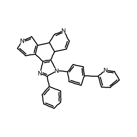 C1=CC2c3c(nc(-c4ccccc4)n3-c3ccc(-c4ccccn4)cc3)-c3ccncc3C2C=N1